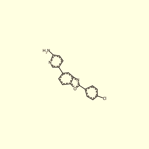 Nc1ccc(-c2ccc3oc(-c4ccc(Cl)cc4)nc3c2)cn1